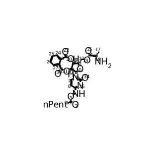 CCCCCC(=O)ONc1ccn([C@@H]2O[C@H](COC(=O)[C@@H](C)N)[C@H]3OC(=O)c4ccccc4C(=O)O[C@H]32)c(=O)n1